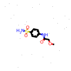 COCC(=O)Nc1ccc(S(N)(=O)=O)cc1